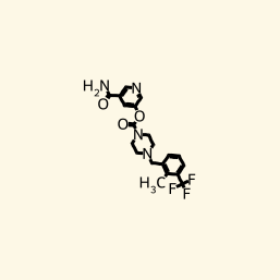 Cc1c(CN2CCN(C(=O)Oc3cncc(C(N)=O)c3)CC2)cccc1C(F)(F)F